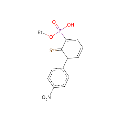 CCOP(=O)(O)C1=CC=CC(c2ccc([N+](=O)[O-])cc2)C1=S